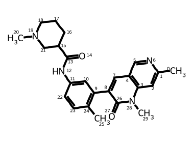 Cc1cc2c(cn1)cc(-c1cc(NC(=O)C3CCCN(C)C3)ccc1C)c(=O)n2C